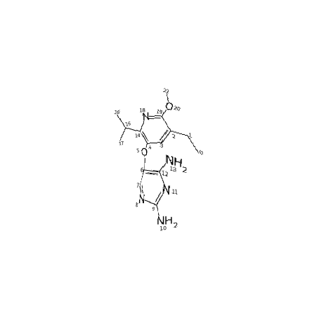 CCc1cc(Oc2cnc(N)nc2N)c(C(C)C)nc1OC